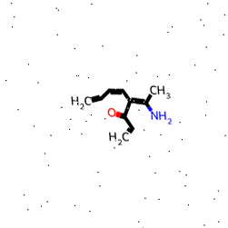 C=C/C=C\C(C(=O)C=C)=C(/C)N